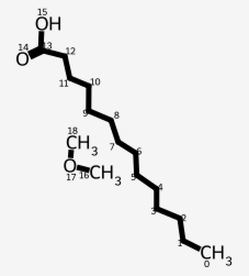 CCCCCCCCCCCCCC(=O)O.COC